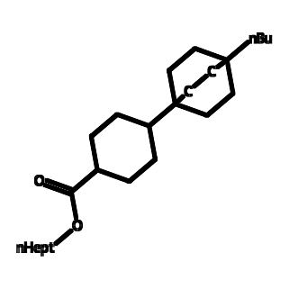 CCCCCCCOC(=O)C1CCC(C23CCC(CCCC)(CC2)CC3)CC1